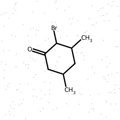 CC1CC(=O)C(Br)C(C)C1